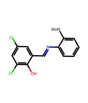 CNc1ccccc1N=Cc1cc(Cl)cc(Cl)c1O